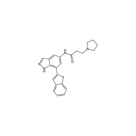 O=C(CCN1CCCC1)Nc1cc(-c2cc3ccccc3s2)c2[nH]ncc2c1